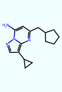 Nc1cc(CC2CCCC2)nc2c(C3CC3)cnn12